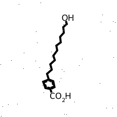 O=C(O)c1ccc(CCCCCCCCCCCCO)cc1